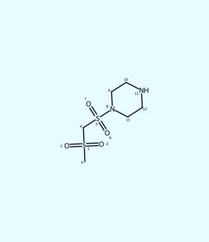 CS(=O)(=O)CS(=O)(=O)N1CCNCC1